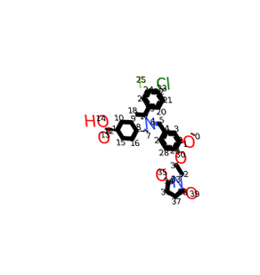 COc1cc(CN(C[C@H]2CC[C@H](C(=O)O)CC2)C(C)c2ccc(Cl)c(F)c2)ccc1OCCN1C(=O)CCC1=O